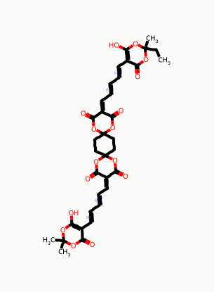 CCC1(C)OC(=O)C(/C=C/C=C/C=C2C(=O)OC3(CCC4(CC3)OC(=O)C(=C/C=C/C=C/C3=C(O)OC(C)(C)OC3=O)C(=O)O4)OC2=O)=C(O)O1